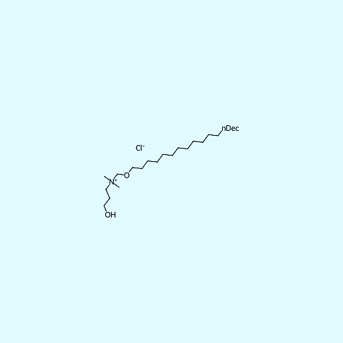 CCCCCCCCCCCCCCCCCCCCCCOC[N+](C)(C)CCCO.[Cl-]